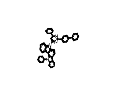 c1ccc(-c2ccc(-c3nc(-c4ccccc4)cc(-n4c5ccccc5c5c4ccc4c6ccccc6n(-c6ccccc6)c45)n3)cc2)cc1